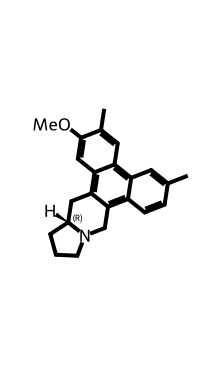 COc1cc2c3c(c4ccc(C)cc4c2cc1C)CN1CCC[C@@H]1C3